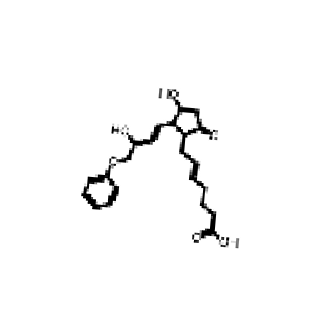 O=C(O)CCC/C=C/CC1C(=O)CC(O)C1/C=C/C(O)COc1ccccc1